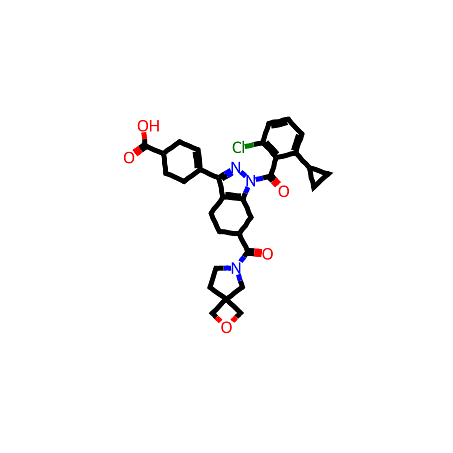 O=C(O)C1CC=C(c2nn(C(=O)c3c(Cl)cccc3C3CC3)c3c2CCC(C(=O)N2CCC4(COC4)C2)C3)CC1